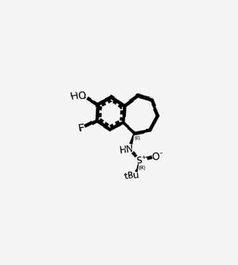 CC(C)(C)[S@+]([O-])N[C@@H]1CCCCc2cc(O)c(F)cc21